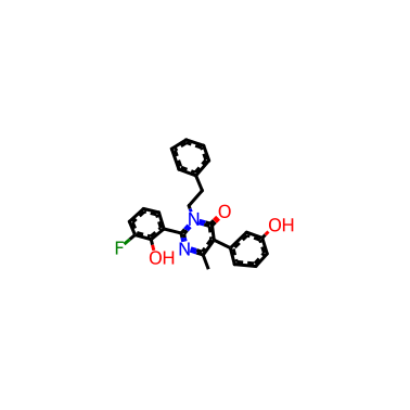 Cc1nc(-c2cccc(F)c2O)n(CCc2ccccc2)c(=O)c1-c1cccc(O)c1